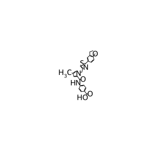 Cc1cc(C(=O)Nc2ccc(C(=O)O)cc2)n(Cc2csc(-c3ccc4c(c3)CCO4)n2)c1